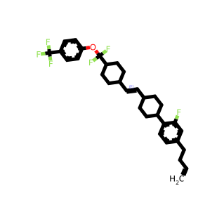 C=CCCc1ccc(C2CCC(/C=C/C3CCC(C(F)(F)Oc4ccc(C(F)(F)F)cc4)CC3)CC2)c(F)c1